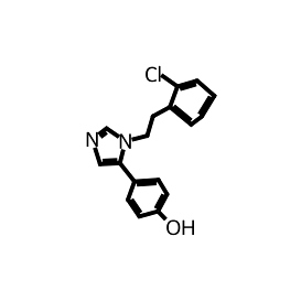 Oc1ccc(-c2cncn2CCc2ccccc2Cl)cc1